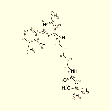 Cc1cccc(-c2cc(NCCCCCNC(=O)OC(C)(C)C)nc(N)n2)c1C